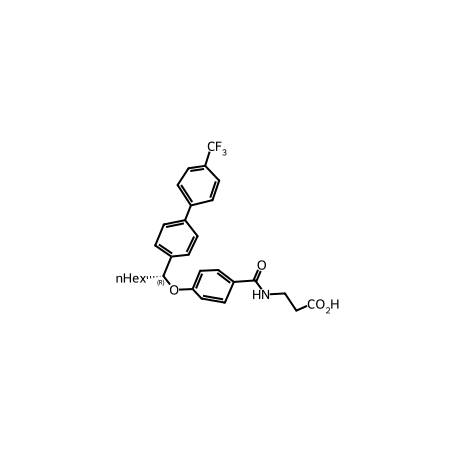 CCCCCC[C@@H](Oc1ccc(C(=O)NCCC(=O)O)cc1)c1ccc(-c2ccc(C(F)(F)F)cc2)cc1